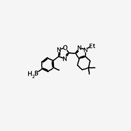 Bc1ccc(-c2noc(-c3nn(CC)c4c3CCC(C)(C)C4)n2)c(C)c1